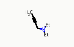 [CH2]C#CCN(CC)CC